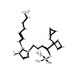 CC(C)(C)[Si](C)(C)OC(CCCN1CC[C@@H](Cl)[C@H]1CC=CCCCC(=O)O)C1(CC2CC2)CCC1